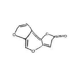 O=c1cc2occ3occc3c-2o1